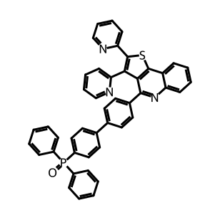 O=P(c1ccccc1)(c1ccccc1)c1ccc(-c2ccc(-c3nc4ccccc4c4sc(-c5ccccn5)c(-c5ccccn5)c34)cc2)cc1